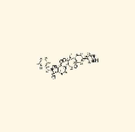 CN1C(=O)[C@@H](N2CCc3c(nn(Cc4ccccc4)c3Cl)C2=O)COc2cc(-c3cn[nH]c3)ccc21